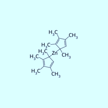 CC1=C[C](C)([Zn][C]2(C)C=C(C)C(C)=C2C)C(C)=C1C